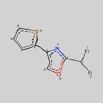 CCC(CC)c1nc(-c2cccs2)co1